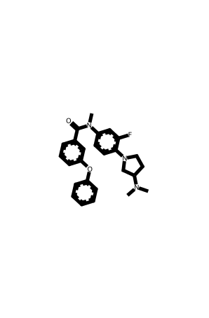 CN(C(=O)c1cccc(Oc2ccccc2)c1)c1ccc(N2CCC(N(C)C)C2)c(F)c1